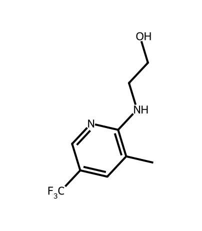 Cc1cc(C(F)(F)F)cnc1NCCO